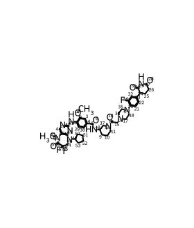 COc1cc(C(=O)NC2CCCN(C(=O)CN3CCN(c4ccc(C5CCC(=O)NC5=O)cc4F)CC3)C2)ccc1Nc1ncc2c(n1)N(C1CCCC1)CC(F)(F)C(=O)N2C